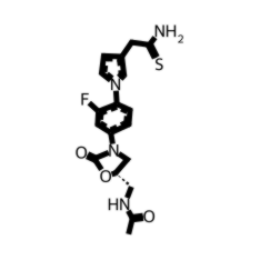 CC(=O)NC[C@H]1CN(c2ccc(-n3ccc(CC(N)=S)c3)c(F)c2)C(=O)O1